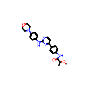 COC(C)C(=O)Nc1ccc(-c2ccnc(Nc3ccc(N4CCOCC4)cc3)n2)cc1